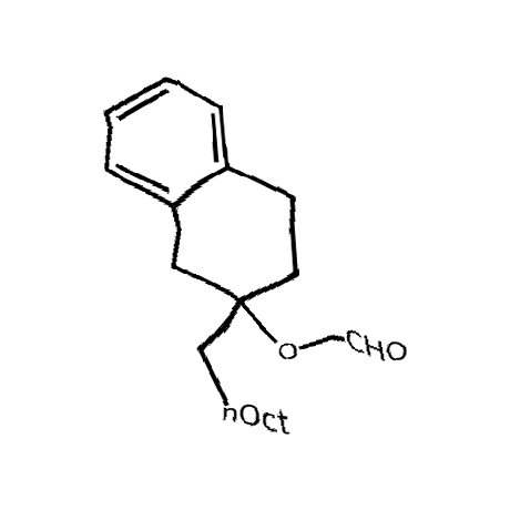 CCCCCCCCCC1(OC=O)CCc2ccccc2C1